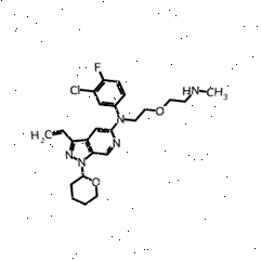 C=Cc1nn(C2CCCCO2)c2cnc(N(CCOCCNC)c3ccc(F)c(Cl)c3)cc12